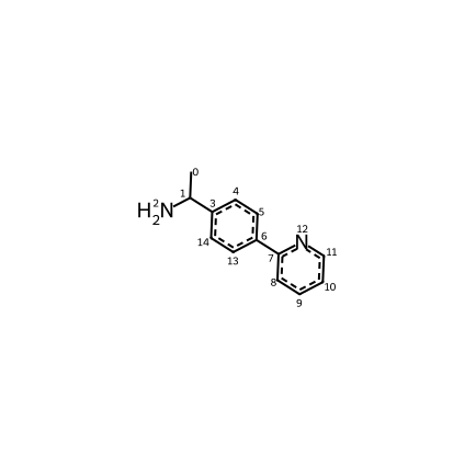 CC(N)c1ccc(-c2ccccn2)cc1